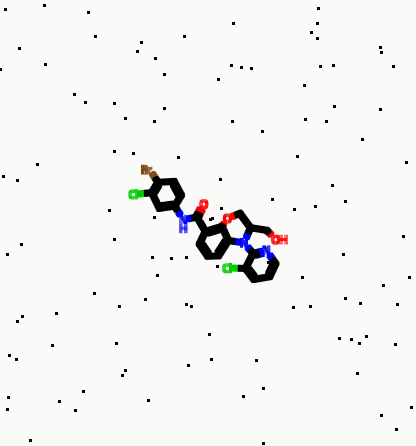 O=C(Nc1ccc(Br)c(Cl)c1)c1cccc2c1OCC(CO)N2c1ncccc1Cl